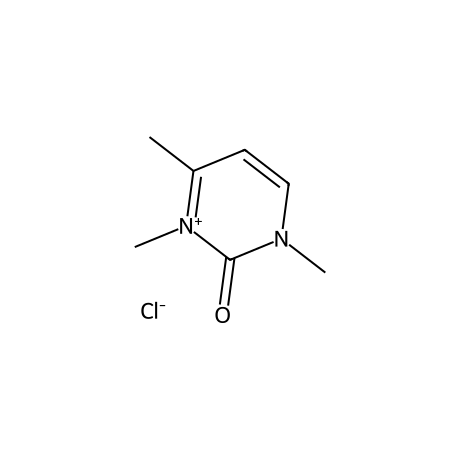 Cc1ccn(C)c(=O)[n+]1C.[Cl-]